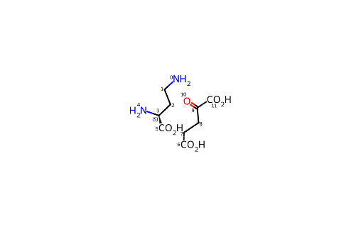 NCC[C@H](N)C(=O)O.O=C(O)CCC(=O)C(=O)O